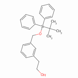 CC(C)(C)[Si](OCc1cccc(CCO)c1)(c1ccccc1)c1ccccc1